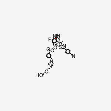 C[C@@H](c1nc(-c2ccc(C#N)cc2)cs1)[C@@](Cn1cncn1)(OC(=O)OCOC(=O)c1cccc(CN2CCN(CCOCCO)CC2)c1)c1ccc(F)cc1F